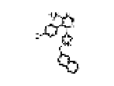 Nc1ncnc(-c2cnn(Cc3ccc4ccccc4c3)c2)c1-c1ccc(Cl)cc1